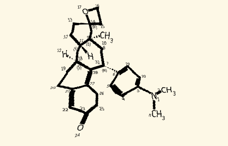 CN(C)c1ccc([C@H]2C[C@@]3(C)[C@@H](CC[C@@]34CCO4)[C@@H]3CCC4=CC(=O)CCC4=C32)cc1